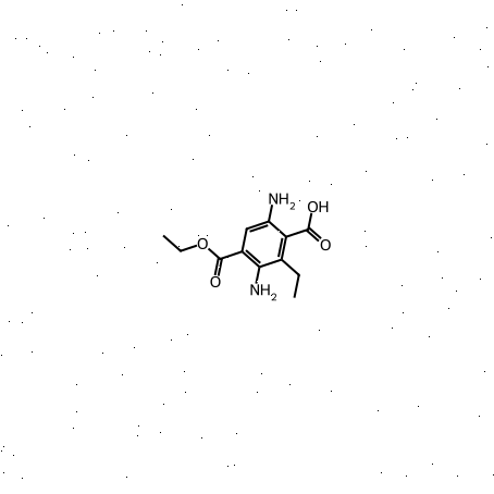 CCOC(=O)c1cc(N)c(C(=O)O)c(CC)c1N